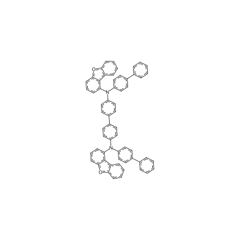 c1ccc(-c2ccc(N(c3ccc(-c4ccc(N(c5ccc(-c6ccccc6)cc5)c5cccc6oc7ccccc7c56)cc4)cc3)c3cccc4oc5ccccc5c34)cc2)cc1